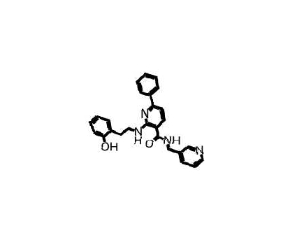 O=C(NCc1cccnc1)c1ccc(-c2ccccc2)nc1NCCc1ccccc1O